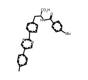 Cc1ccc(-c2cnc(-c3ccc(C[C@H](NC(=O)c4ccc(C(C)(C)C)cc4)C(=O)O)cc3)nc2)cc1